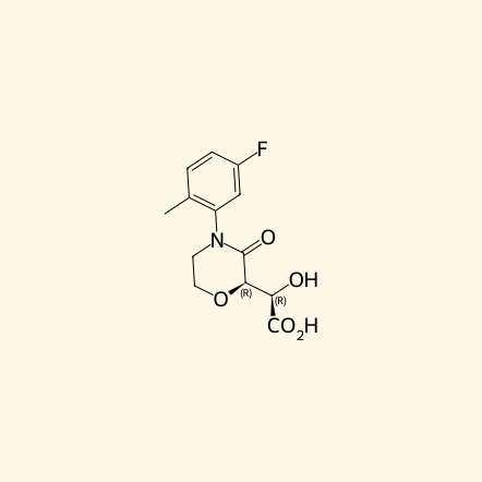 Cc1ccc(F)cc1N1CCO[C@H]([C@@H](O)C(=O)O)C1=O